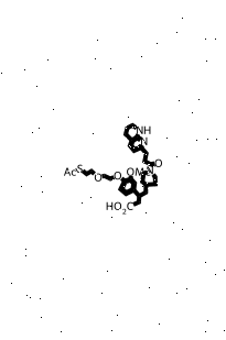 COc1cc(C(CC(=O)O)CC2CCN(C(=O)CCc3ccc4c(n3)NCCC4)CC2)ccc1OCCOCCSC(C)=O